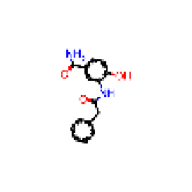 NC(=O)c1ccc(O)c(NC(=O)Cc2ccccc2)c1